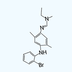 CCN(C)C=Nc1cc(C)c(Nc2ccccc2Br)cc1C